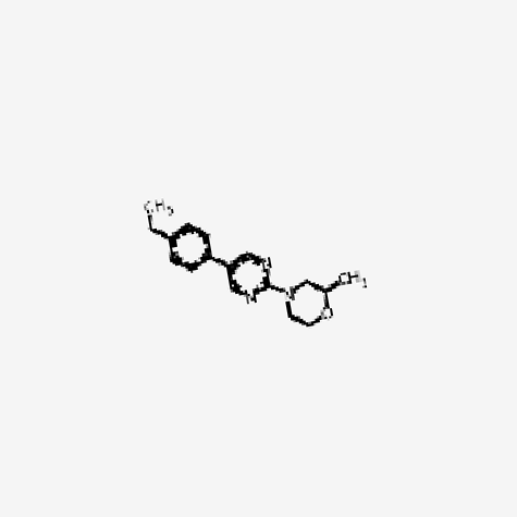 CCc1ccc(-c2cnc(N3CCOC(C)C3)nc2)cc1